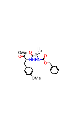 COC(=O)C(Cc1ccc(OC)cc1)NC(=O)[C@H](C)NC(=O)OCc1ccccc1